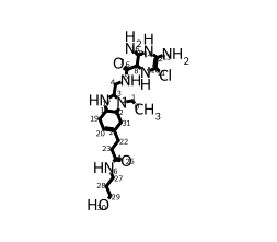 CCN1C(CNC(=O)C2NC(Cl)=C(N)NC2N)NC2CC=C(CCC(=O)NCCCO)CC21